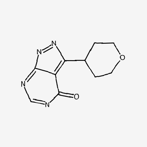 O=C1N=CN=C2N=NC(C3CCOCC3)=C12